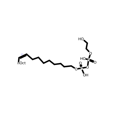 CCCCCCCC/C=C\CCCCCCCCOP(=O)(O)OP(=O)(O)OCCO